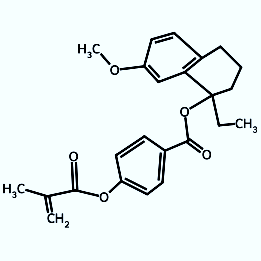 C=C(C)C(=O)Oc1ccc(C(=O)OC2(CC)CCCc3ccc(OC)cc32)cc1